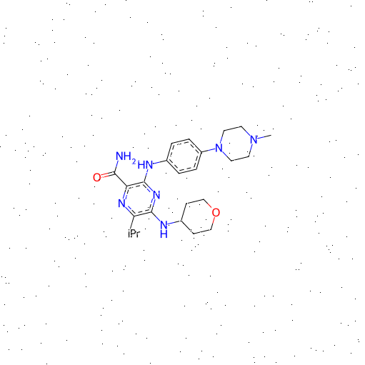 CC(C)c1nc(C(N)=O)c(Nc2ccc(N3CCN(C)CC3)cc2)nc1NC1CCOCC1